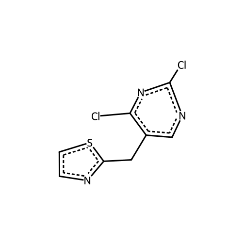 Clc1ncc(Cc2nccs2)c(Cl)n1